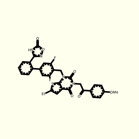 CCc1cc2c(=O)n(CC(=O)c3ccc(OC)cc3)c(=O)n(Cc3c(F)cc(-c4ccccc4-c4noc(=O)[nH]4)cc3F)c2s1